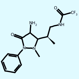 C[C@H](CNC(=O)C(F)(F)F)C1C(N)C(=O)N(c2ccccc2)N1C